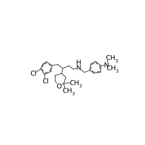 CN(C)c1ccc(CNCCC(Cc2ccc(Cl)c(Cl)c2)C2CCOC(C)(C)C2)cc1